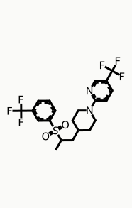 CC(CC1CCN(c2ccc(C(F)(F)F)cn2)CC1)S(=O)(=O)c1cccc(C(F)(F)F)c1